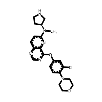 CN(c1ccc2ncnc(Oc3ccc(N4CCOCC4)c(Cl)c3)c2n1)[C@H]1CCNC1